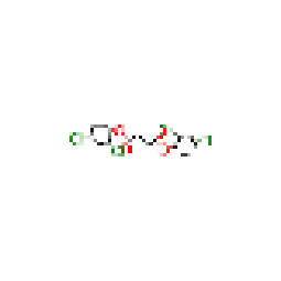 O=C(CCC(=O)Oc1ccc(Cl)cc1Cl)Oc1ccc(Cl)cc1Cl